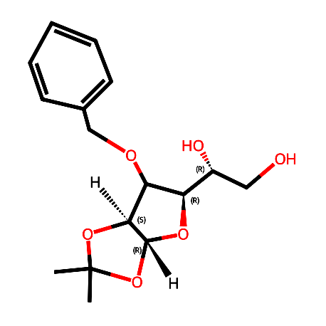 CC1(C)O[C@H]2O[C@H]([C@H](O)CO)C(OCc3ccccc3)[C@@H]2O1